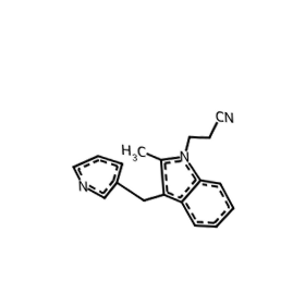 Cc1c(Cc2cccnc2)c2ccccc2n1CCC#N